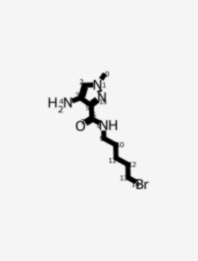 Cn1cc(N)c(C(=O)NCCCCCBr)n1